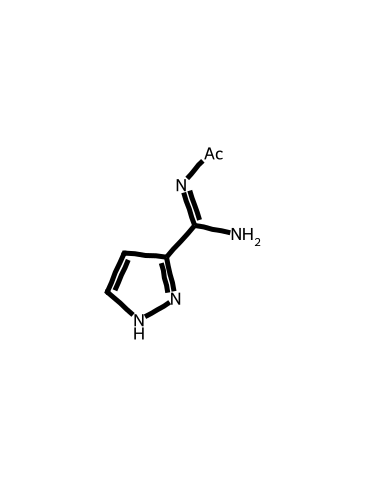 CC(=O)N=C(N)c1cc[nH]n1